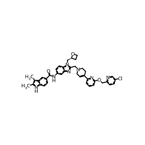 Cc1[nH]c2ccc(C(=O)Nc3ccc4c(c3)nc(CN3CC=C(c5cccc(OCc6ccc(Cl)cn6)n5)CC3)n4C[C@@H]3CCO3)cc2c1C